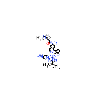 CNC1CCN(c2nc(NCc3ccccc3-c3nccc4cc(NC(=O)/C=C/CN(C)C)ccc34)n3ncc(C(C)C)c3n2)CC1